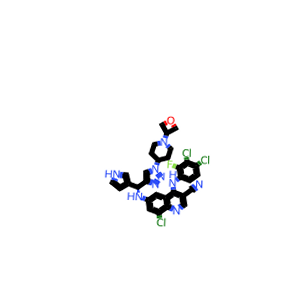 N#Cc1cnc2c(Cl)cc(N[C@@H](c3cc[nH]c3)c3cn(C4CCN(C5COC5)CC4)nn3)cc2c1Nc1ccc(Cl)c(Cl)c1F